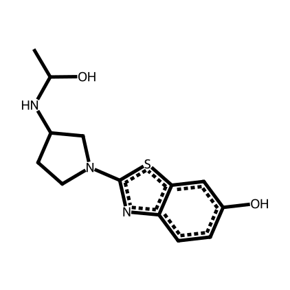 CC(O)NC1CCN(c2nc3ccc(O)cc3s2)C1